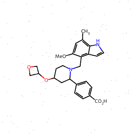 COc1cc(C)c2[nH]ccc2c1CN1CCC(OC2COC2)CC1c1ccc(C(=O)O)cc1